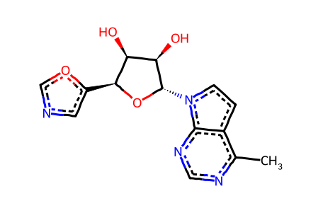 Cc1ncnc2c1ccn2[C@@H]1O[C@@H](c2cnco2)[C@@H](O)[C@H]1O